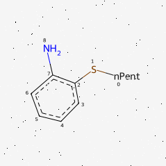 CCCCCSc1ccccc1N